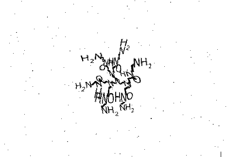 NCCNC(=O)CCN(CCC(=O)NCCN)CCN(CCN(CCC(=O)NCCN)CCC(=O)NCCN)CCN(CCC(=O)NCCN)CCC(=O)NCCN